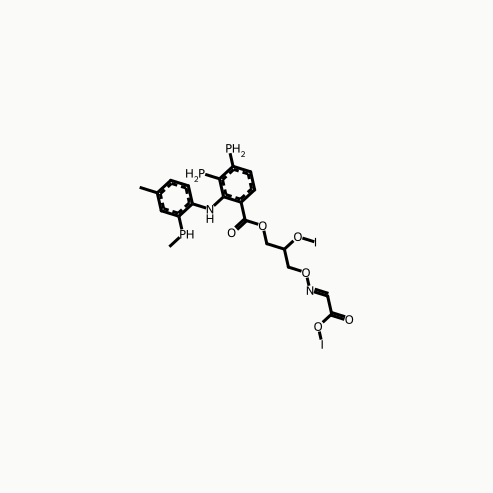 CPc1cc(C)ccc1Nc1c(C(=O)OCC(CO/N=C/C(=O)OI)OI)ccc(P)c1P